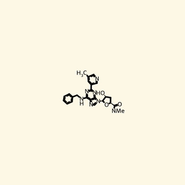 CNC(=O)[C@@H]1C[C@@H](O)[C@H](n2cnc3c(NCc4ccccc4)nc(-c4cncc(C)c4)nc32)O1